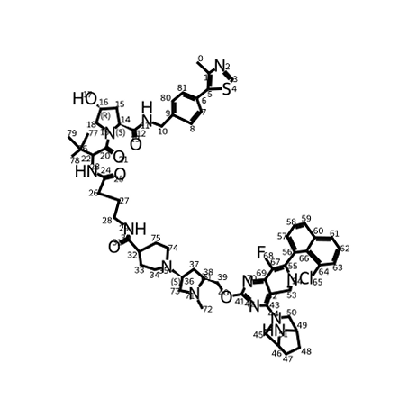 Cc1ncsc1-c1ccc(CNC(=O)[C@@H]2C[C@@H](O)CN2C(=O)C(NC(=O)CCCNC(=O)C2CCN([C@H]3C[C@@H](COc4nc(N5CC6CCC(C5)N6)c5cnc(-c6cccc7cccc(Cl)c67)c(F)c5n4)N(C)C3)CC2)C(C)(C)C)cc1